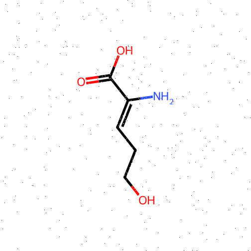 NC(=CCCO)C(=O)O